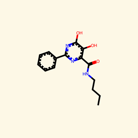 CCCCNC(=O)c1nc(-c2ccccc2)nc(O)c1O